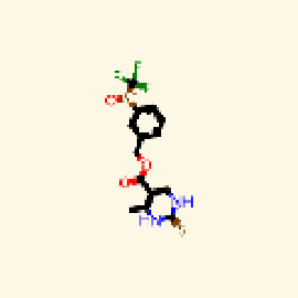 CC1=C(C(=O)OCc2cccc([S+]([O-])C(F)(F)F)c2)CNC(=S)N1